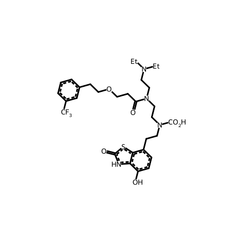 CCN(CC)CCN(CCN(CCc1ccc(O)c2[nH]c(=O)sc12)C(=O)O)C(=O)CCOCCc1cccc(C(F)(F)F)c1